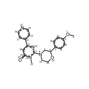 COc1ccc(C2CN(c3nc(-c4ccncc4)cc(=O)n3C)CCO2)cc1